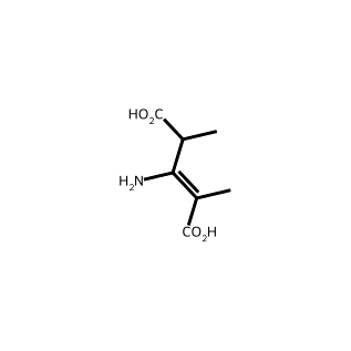 CC(C(=O)O)=C(N)C(C)C(=O)O